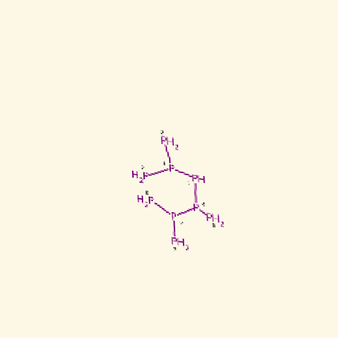 PP(P)PP(P)P(P)P